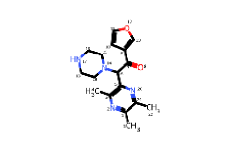 Cc1nc(C)c(C(C(=O)c2ccoc2)N2CCNCC2)nc1C